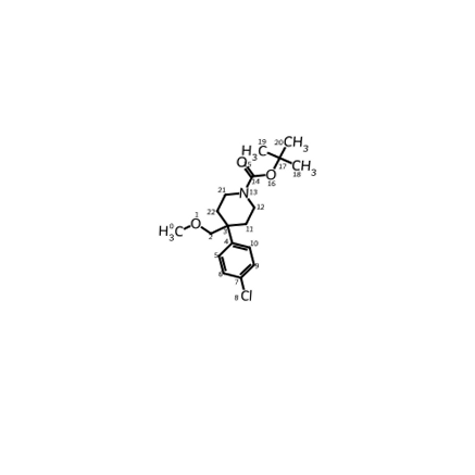 COCC1(c2ccc(Cl)cc2)CCN(C(=O)OC(C)(C)C)CC1